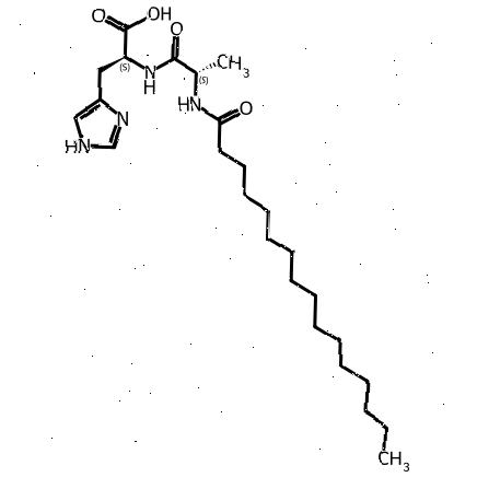 CCCCCCCCCCCCCCCC(=O)N[C@@H](C)C(=O)N[C@@H](Cc1c[nH]cn1)C(=O)O